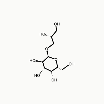 OC[C@@H](O)CO[C@H]1O[C@H](CO)[C@H](O)[C@H](O)[C@H]1O